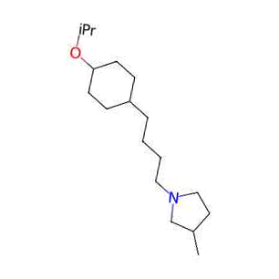 CC1CCN(CCCCC2CCC(OC(C)C)CC2)C1